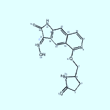 O=C1CCC(COc2nccc3cc4c(cc23)/C(=N\O)C(=O)N4)N1